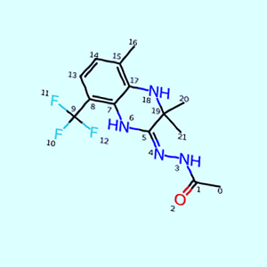 CC(=O)N/N=C1/Nc2c(C(F)(F)F)ccc(C)c2NC1(C)C